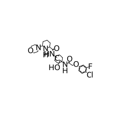 O=C(COc1ccc(Cl)c(F)c1)NC12CCC(NC(=O)C3CCCC(N4CCOCC4)N3)(CC1)CC2O